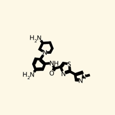 Cn1cc(-c2nc(C(=O)Nc3cc(N)ccc3N3CCCC(N)C3)cs2)cn1